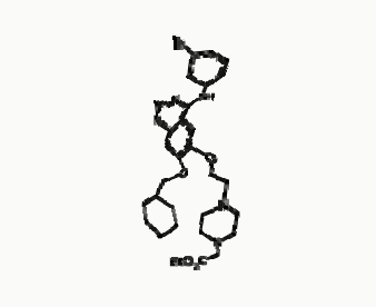 CCOC(=O)CN1CCN(CCOc2cc3c(Nc4cccc(Br)c4)ncnc3cc2OCC2CCCCC2)CC1